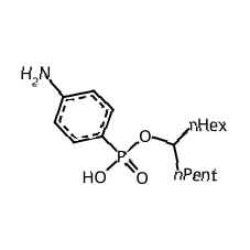 CCCCCCC(CCCCC)OP(=O)(O)c1ccc(N)cc1